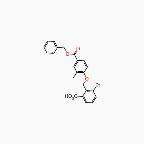 CCc1cccc(C(=O)O)c1COc1ccc(C(=O)OCc2ccccc2)cc1C